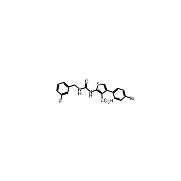 O=C(NCc1cccc(F)c1)Nc1scc(-c2ccc(Br)cc2)c1C(=O)O